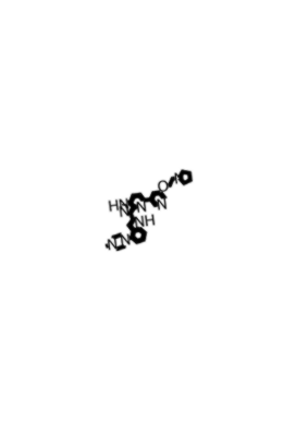 CN1CCN(c2cccc3[nH]c(-c4n[nH]c5ccc(-c6cncc(OCCN7CCCC7)c6)nc45)cc23)CC1